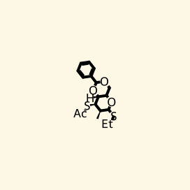 CCSC1OC2COC(c3ccccc3)O[C@H]2[C@H](SC(C)=O)[C@@H]1C